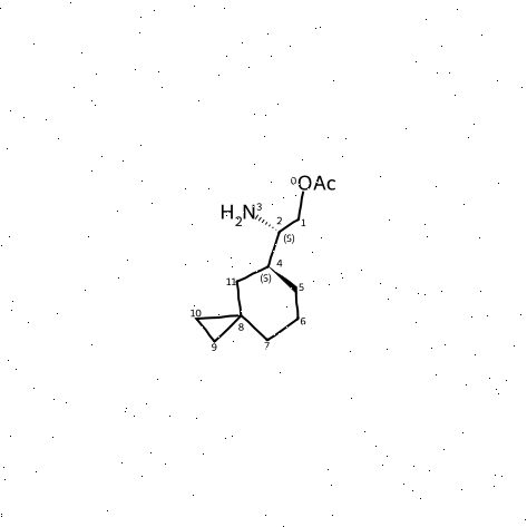 CC(=O)OC[C@@H](N)[C@H]1CCCC2(CC2)C1